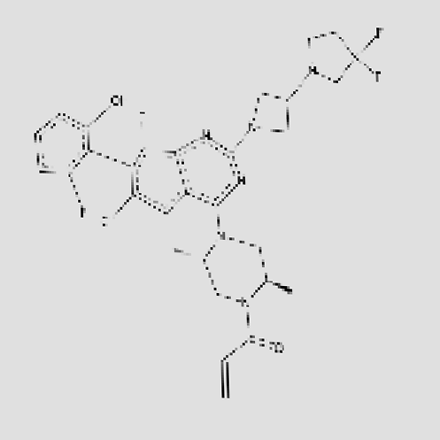 C=CC(=O)N1C[C@H](C)N(c2nc(N3CC(N4CCC(F)(F)C4)C3)nc3c(F)c(-c4c(O)cccc4F)c(Cl)cc23)C[C@H]1C